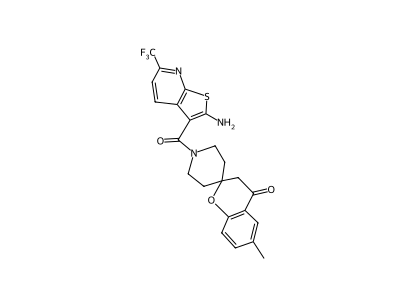 Cc1ccc2c(c1)C(=O)CC1(CCN(C(=O)c3c(N)sc4nc(C(F)(F)F)ccc34)CC1)O2